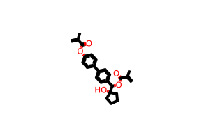 C=C(C)C(=O)Oc1ccc(-c2ccc(C(OC(=O)C(=C)C)C3(O)CCCC3)cc2)cc1